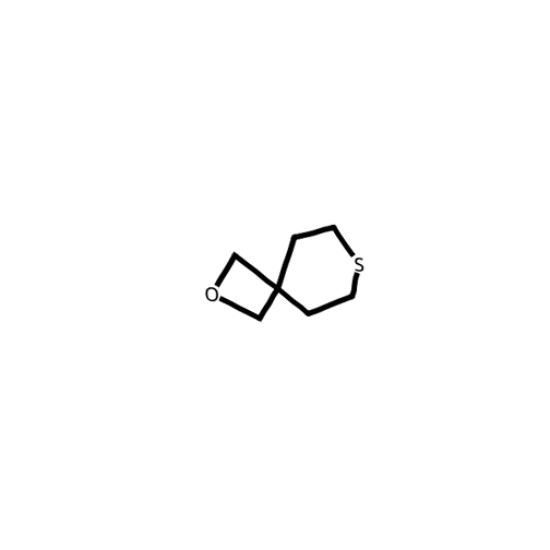 C1CC2(CCS1)COC2